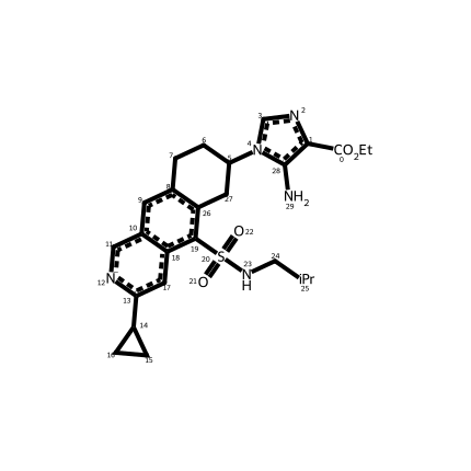 CCOC(=O)c1ncn(C2CCc3cc4cnc(C5CC5)cc4c(S(=O)(=O)NCC(C)C)c3C2)c1N